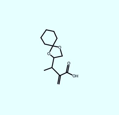 C=C(C(=O)O)C(C)C1COC2(CCCCC2)O1